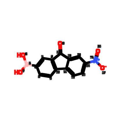 O=C1c2cc(B(O)O)ccc2-c2ccc([N+](=O)[O-])cc21